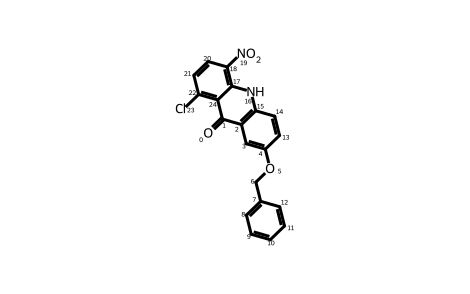 O=c1c2cc(OCc3ccccc3)ccc2[nH]c2c([N+](=O)[O-])ccc(Cl)c12